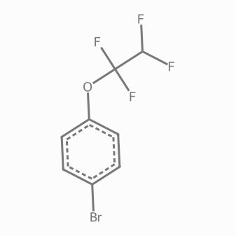 FC(F)C(F)(F)Oc1ccc(Br)cc1